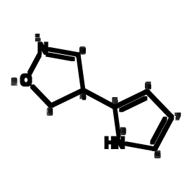 C1=NOCC1c1ccc[nH]1